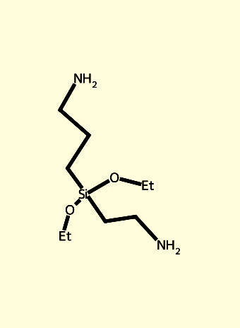 CCO[Si](CCN)(CCCN)OCC